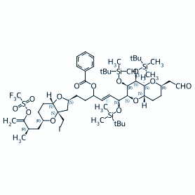 C=C(OS(=O)(=O)C(F)(F)F)[C@H](C)C[C@H]1CC[C@@H]2O[C@@H](CCC(/C=C/[C@H](O[Si](C)(C)C(C)(C)C)[C@@H]3O[C@H]4CC[C@H](CC=O)O[C@@H]4[C@H](O[Si](C)(C)C(C)(C)C)[C@@H]3O[Si](C)(C)C(C)(C)C)OC(=O)c3ccccc3)C[C@]2(CI)O1